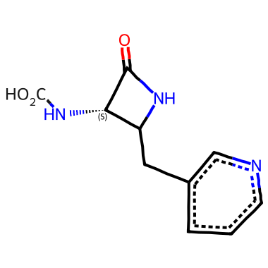 O=C(O)N[C@@H]1C(=O)NC1Cc1cccnc1